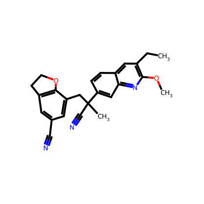 CCc1cc2ccc(C(C)(C#N)Cc3cc(C#N)cc4c3OCC4)cc2nc1OC